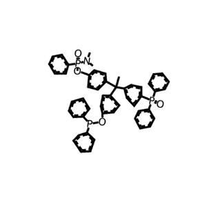 CN(C)P(=O)(Oc1ccc(C(C)(c2ccc(OP(c3ccccc3)c3ccccc3)cc2)c2ccc(P(=O)(c3ccccc3)c3ccccc3)cc2)cc1)c1ccccc1